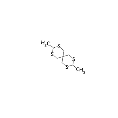 CC1SCC2(CS1)CSC(C)SC2